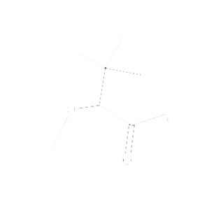 COC(C(C)=O)C(C)(C)C